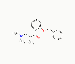 CC(CN(C)C)C(=O)c1ccccc1OCc1ccccc1